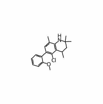 COc1ccccc1-c1cc(C)c2c(c1Cl)C(C)CC(C)(C)N2